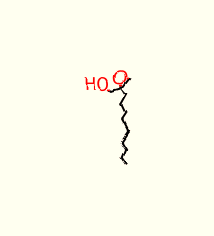 CCCCCCCCC[C@]1(CO)CO1